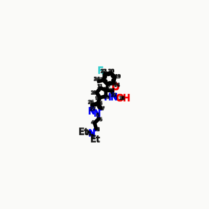 CCN(CC)CCCn1cc(C2CC[C@@](C(=O)NO)(c3cccc(F)c3C)C2)cn1